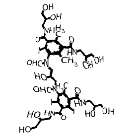 Cc1c(C(=O)NCC(O)CO)c(C)c(N(C=O)CC(O)CN(C=O)c2c(C)c(C(=O)NCC(O)CO)c(I)c(C(=O)NCC(O)CO)c2I)c(I)c1C(=O)NCC(O)CO